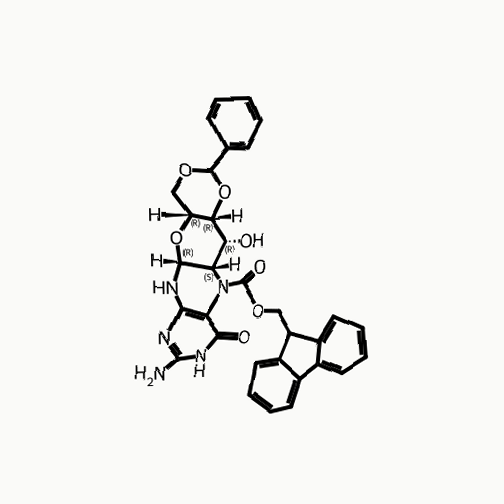 Nc1nc2c(c(=O)[nH]1)N(C(=O)OCC1c3ccccc3-c3ccccc31)[C@H]1[C@@H](O)[C@H]3OC(c4ccccc4)OC[C@H]3O[C@H]1N2